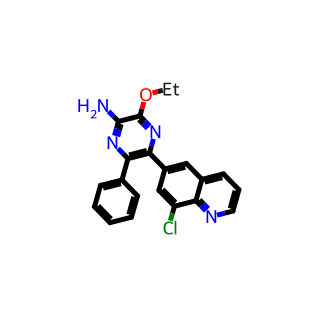 CCOc1nc(-c2cc(Cl)c3ncccc3c2)c(-c2ccccc2)nc1N